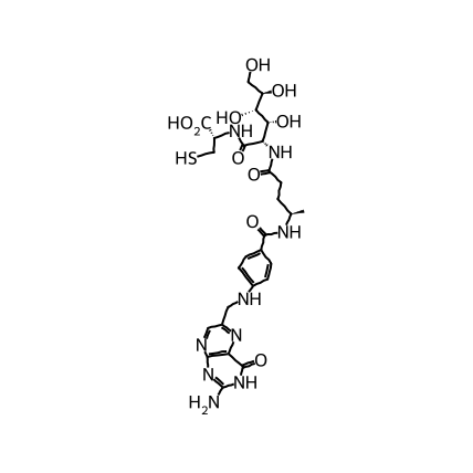 C[C@H](CCC(=O)N[C@H](C(=O)N[C@H](CS)C(=O)O)[C@@H](O)[C@H](O)[C@H](O)CO)NC(=O)c1ccc(NCc2cnc3nc(N)[nH]c(=O)c3n2)cc1